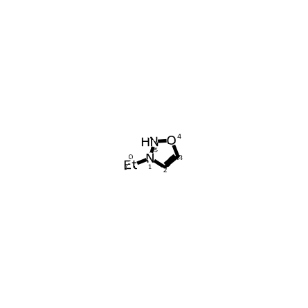 CCN1C=[C]ON1